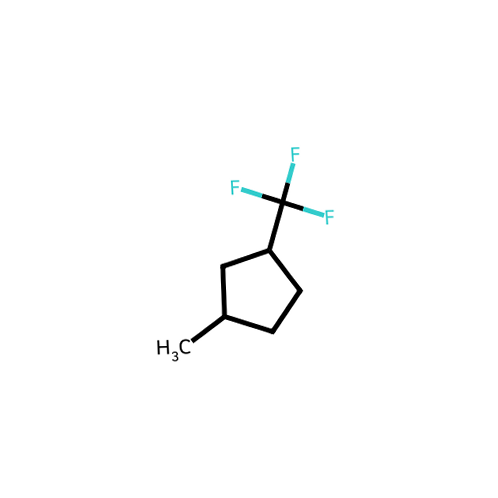 CC1CCC(C(F)(F)F)C1